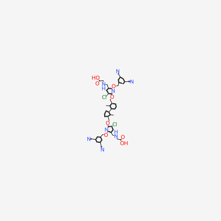 Cc1c(COc2nc(OCc3cc(C#N)cc(C#N)c3)c(CNCC(=O)O)cc2Cl)cccc1-c1cccc(COc2nc(OCc3cc(C#N)cc(C#N)c3)c(CNCC(=O)O)cc2Cl)c1C